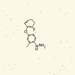 Cc1cc(OC2=C(F)CCC=C2)ccc1NN